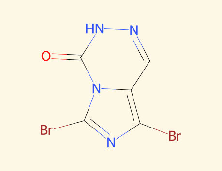 O=c1[nH]ncc2c(Br)nc(Br)n12